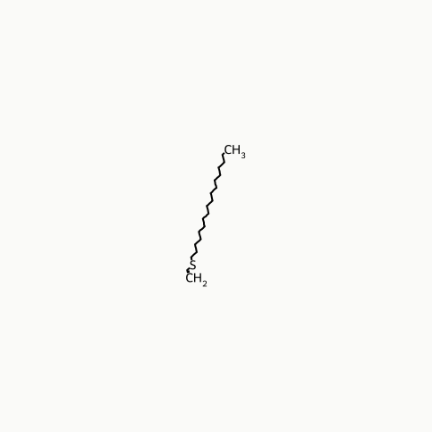 C=CSCCCCCCCCCCCCCCCCCC